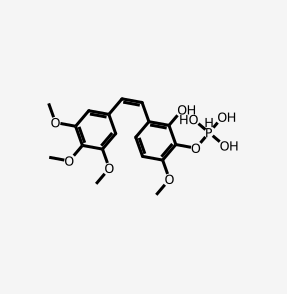 COc1cc(/C=C\c2ccc(OC)c(O[PH](O)(O)O)c2O)cc(OC)c1OC